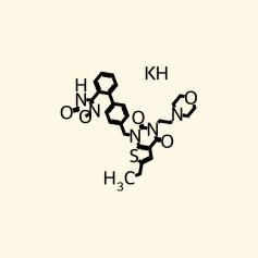 CCc1cc2c(=O)n(CCN3CCOCC3)c(=O)n(Cc3ccc(-c4ccccc4-c4noc(=O)[nH]4)cc3)c2s1.[KH]